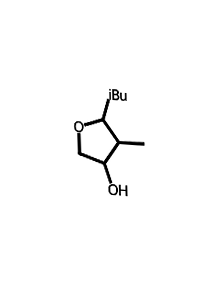 CCC(C)C1OCC(O)C1C